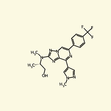 C[C@@H](CO)N(C)c1nc2c(-c3cnn(C)c3)nc(-c3ccc(C(F)(F)F)cc3)cn2n1